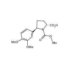 COc1ccc([C@H]2CC[C@H](C(=O)O)N2C(=O)OC(C)(C)C)cc1OC